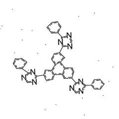 c1ccc(-c2ncnc(-c3ccc4c(c3)c3ccc(-c5ncnc(-c6ccccc6)n5)cc3c3ccc(-c5ncnc(-c6ccccc6)n5)cc43)n2)cc1